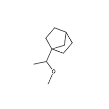 COC(C)C12CCC(CC1)C2